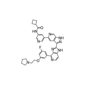 O=C(Nc1cncc(-c2cc3c(-c4nc5c(-c6cc(F)cc(OCCN7CCCC7)c6)nccc5[nH]4)n[nH]c3cn2)c1)C1CCC1